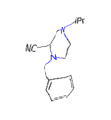 CC(C)N1CCN(Cc2ccccc2)C(C#N)C1